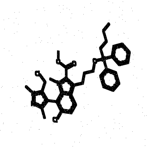 CCCC[Si](OCCCc1c(C(=O)OC)n(C)c2c(-c3c(C)nn(C)c3CCl)c(Cl)ccc12)(c1ccccc1)c1ccccc1